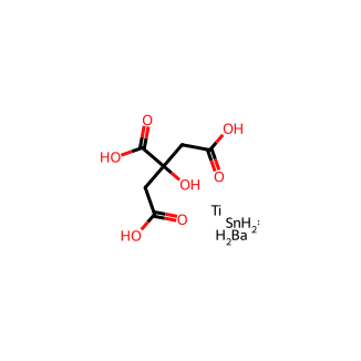 O=C(O)CC(O)(CC(=O)O)C(=O)O.[BaH2].[SnH2].[Ti]